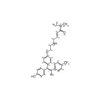 CC/C(=C(\c1ccc(O)cc1)c1ccc(OCCNC/C=C/C(=O)N(C)C)cc1)c1ccc(C(F)(F)F)cc1